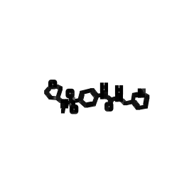 CN(C1CCOC1)S(=O)(=O)c1ccc(NC(=O)NCc2cccnc2)cc1